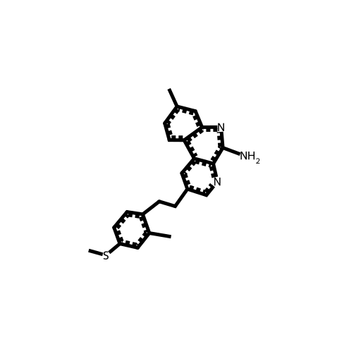 CSc1ccc(CCc2cnc3c(N)nc4cc(C)ccc4c3c2)c(C)c1